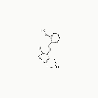 COc1cccnc1CSc1c(Cl)ccc2c1CCNCC2